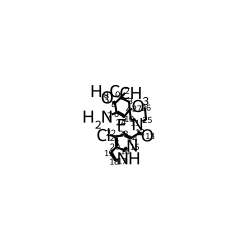 CC1(C)CC2(C=C(N)C1=O)CN(C(=O)c1nc3[nH]ccc3c(Cl)c1F)CCO2